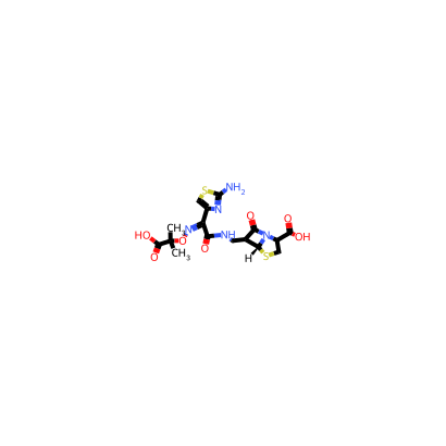 CC(C)(O/N=C(\C(=O)NCC1C(=O)N2C(C(=O)O)CS[C@H]12)c1csc(N)n1)C(=O)O